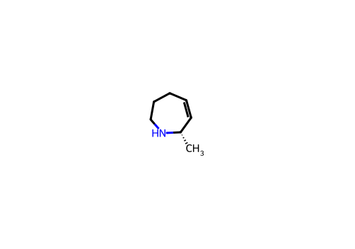 C[C@H]1C=CCCCN1